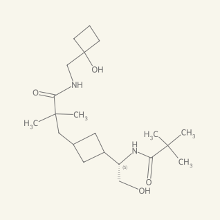 CC(C)(C)C(=O)N[C@H](CO)C1CC(CC(C)(C)C(=O)NCC2(O)CCC2)C1